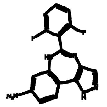 Nc1ccc2c(c1)NC(c1c(F)cccc1F)=Nc1cn[nH]c1-2